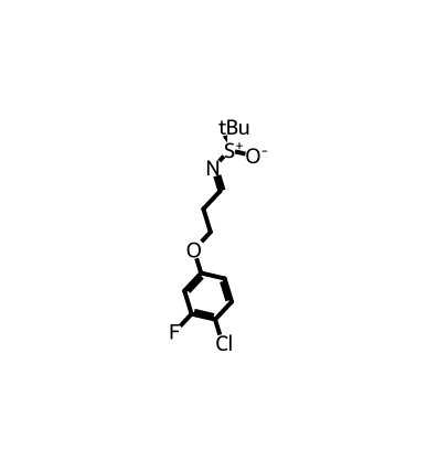 CC(C)(C)[S@@+]([O-])/N=C/CCOc1ccc(Cl)c(F)c1